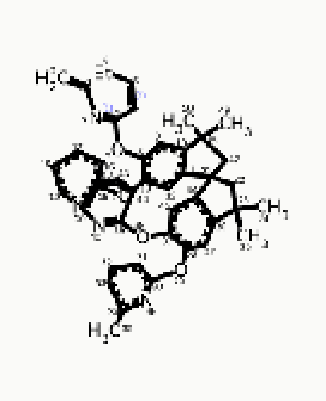 C=C/N=C(\C=C/CC)Oc1cc2c(cc1Oc1ccccn1)C1(CC(C)(C)c3cc(Oc4cccc(C)n4)c(OC4=NC=C=C=C4)cc31)CC2(C)C